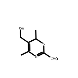 CC1=C(CO)C(C)SC(C=O)=N1